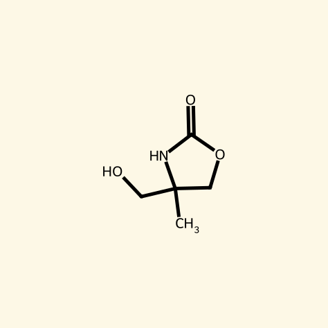 CC1(CO)COC(=O)N1